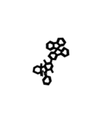 Cc1cc(-c2ccc3c(c2)-c2ccccc2C32c3ccccc3-c3ccccc32)c(C)c2c1N(c1ccccc1)C1(C)CCCCC21C